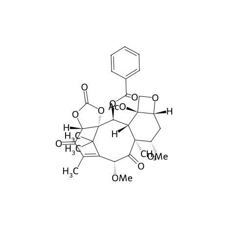 CO[C@H]1C(=O)[C@]2(C)[C@@H](OC)C[C@H]3OC[C@@]3(OC(C)=O)[C@H]2[C@H](OC(=O)c2ccccc2)[C@]23OC(=O)O[C@H]2C(=O)C(C)=C1C3(C)C